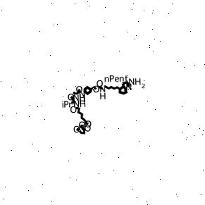 CCCCCc1cc2c(CCCCCNC(=O)OCc3ccc(NC(=O)C(C)NC(=O)[C@@H](NC(=O)CCCCCC(=O)ON4C(=O)CCC4=O)C(C)C)cc3)cccc2nc1N